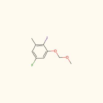 COCOc1cc(F)cc(C)c1I